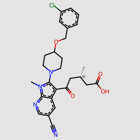 C[C@H](CC(=O)O)CC(=O)c1c(N2CCC(OCc3cccc(Cl)c3)CC2)n(C)c2ncc(C#N)cc12